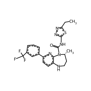 CCc1nnc(NC(=O)N2c3nc(-c4cccc(C(F)(F)F)c4)ccc3NCC[C@H]2C)s1